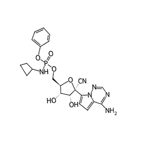 N#C[C@@]1(c2ccc3c(N)ncnn23)O[C@H](COP(=O)(NC2CCC2)Oc2ccccc2)[C@@H](O)[C@H]1O